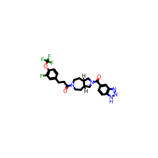 O=C(CCc1ccc(OC(F)(F)F)c(F)c1)N1CC[C@@H]2CN(C(=O)c3ccc4[nH]nnc4c3)C[C@@H]2CC1